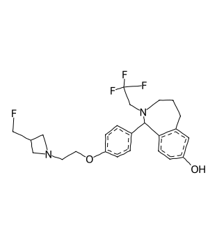 Oc1ccc2c(c1)CCCN(CC(F)(F)F)C2c1ccc(OCCN2CC(CF)C2)cc1